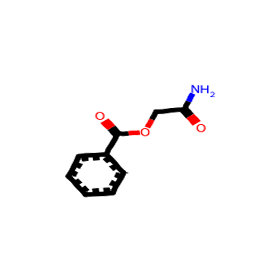 NC(=O)COC(=O)c1[c]cccc1